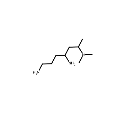 CC(CC(N)CCCN)N(C)C